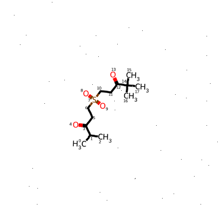 CC(C)C(=O)CCS(=O)(=O)CCC(=O)C(C)(C)C